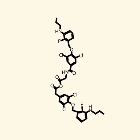 CCCNc1cccc(COc2c(Cl)cc(CC(=O)OC(=O)CNC(=O)c3cc(Cl)c(OCc4cccc(NCCC)c4F)c(Cl)c3)cc2Cl)c1F